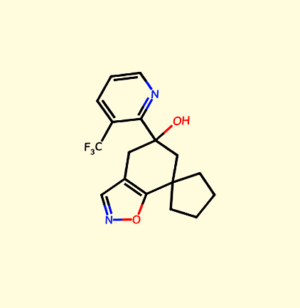 OC1(c2ncccc2C(F)(F)F)Cc2cnoc2C2(CCCC2)C1